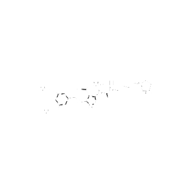 COC(=O)c1c(OCc2cc(OC)cc(OC)c2)nsc1NC(=O)NCCCCN1CC[C@@H](F)C1